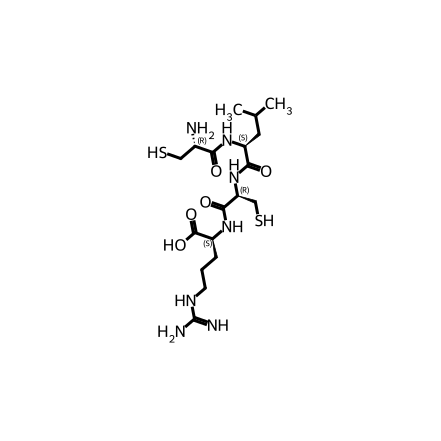 CC(C)C[C@H](NC(=O)[C@@H](N)CS)C(=O)N[C@@H](CS)C(=O)N[C@@H](CCCNC(=N)N)C(=O)O